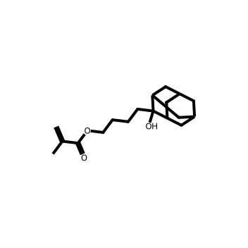 C=C(C)C(=O)OCCCCC1(O)C2CC3CC(C2)CC1C3